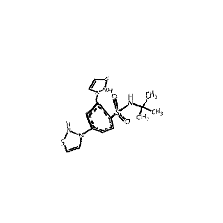 CC(C)(C)NS(=O)(=O)c1ccc(N2C=CSN2)cc1N1C=CSN1